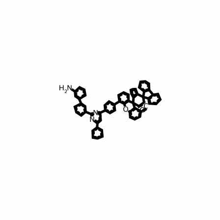 Nc1cccc(-c2cccc(-c3nc(-c4ccccc4)cc(-c4ccc(-c5cccc6c5Oc5ccccc5C65c6ccccc6C6(c7ccccc7-c7ccccc76)c6ccccc65)cc4)n3)c2)c1